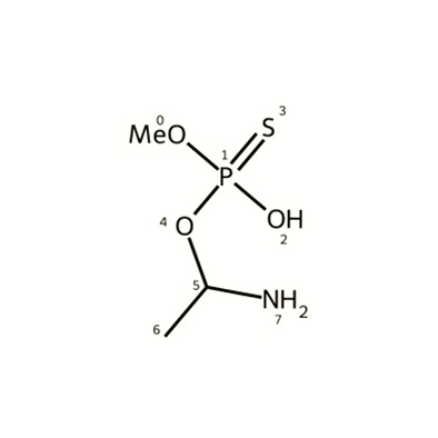 COP(O)(=S)OC(C)N